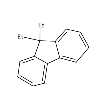 CCC1(CC)c2ccc[c]c2-c2c[c]ccc21